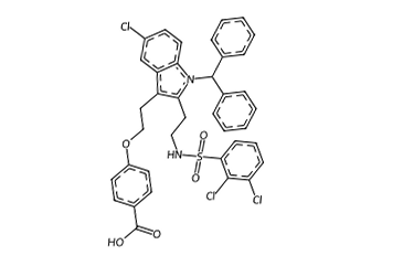 O=C(O)c1ccc(OCCc2c(CCNS(=O)(=O)c3cccc(Cl)c3Cl)n(C(c3ccccc3)c3ccccc3)c3ccc(Cl)cc23)cc1